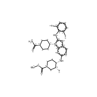 CC(C)(C)OC(=O)N1CC[C@H](Nc2ncc3nc(Nc4c(F)cccc4F)n([C@H]4CC[C@H](C(N)=O)CC4)c3n2)[C@H](F)C1